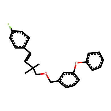 CC(C)(C=Cc1ccc(F)cc1)COCc1cccc(Oc2ccccc2)c1